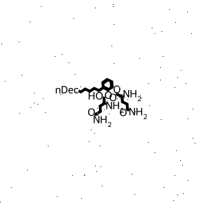 CCCCCCCCCCCCCCCc1cccc(OC(=O)[C@@H](N)CCC(N)=O)c1OC(O)[C@@H](N)CCC(N)=O